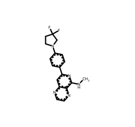 CNc1nc(-c2ccc(N3CCC(F)(F)C3)cc2)cc2nccnc12